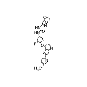 CCc1ccc(-c2cc3nccc(Oc4ccc(NC(=O)Nc5cc(C)on5)cc4F)c3s2)nc1